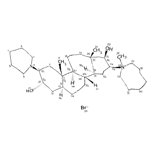 C[C@]12C[C@H](N3CCCCC3)[C@@H](O)C[C@@H]1CC[C@@H]1[C@@H]2CC[C@]2(C)[C@@H](O)[C@@H]([N+]3(C)CCCCCC3)C[C@@H]12.[Br-]